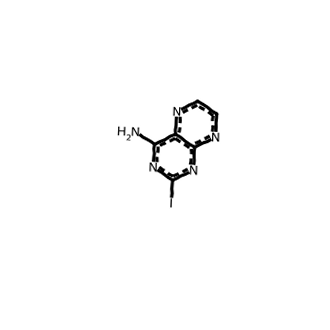 Nc1nc(I)nc2nccnc12